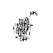 NCCCCCO[C@@H]1OC(CO)[C@@H](O[C@@H]2OC(C(=O)O)[C@@H](O[C@H]3OC(CO)[C@H](O[C@H]4OC(CO)[C@@H](O)[C@H](O)C4O)C(O)C3O)C(O)[C@@H]2O)C(O)C1O